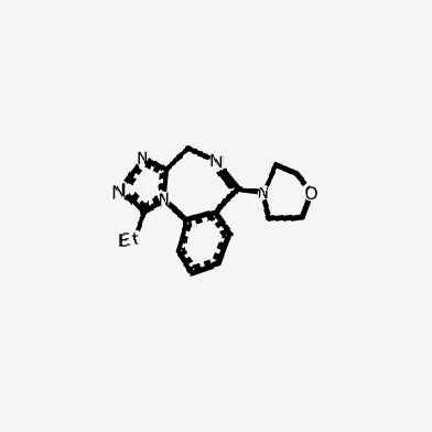 CCc1nnc2n1-c1ccccc1C(N1CCOCC1)=NC2